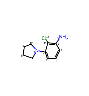 Nc1cccc(N2CCCC2)c1Cl